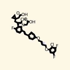 Cc1c(CC2(CC(=O)O)CC2)c2c(F)ccc(C=Cc3ccc(OC/C=C/COc4cc(F)cc(F)c4Cl)cc3)c2n1CC(=O)O